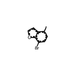 Cc1ccc(Br)c2occc12